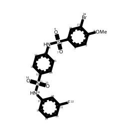 COc1ccc(S(=O)(=O)Nc2ccc(S(=O)(=O)Nc3cccc(F)c3)cc2)cc1Br